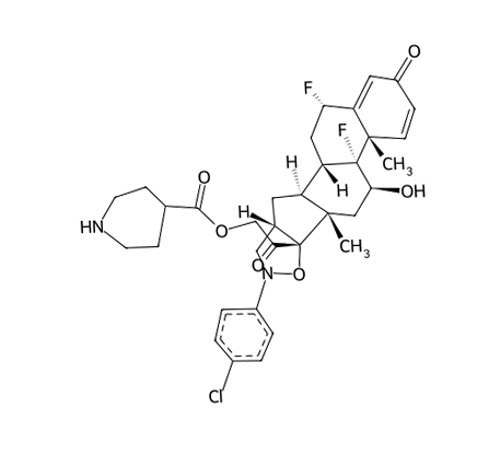 C[C@]12C=CC(=O)C=C1[C@@H](F)C[C@H]1[C@@H]3C[C@H]4CN(c5ccc(Cl)cc5)O[C@@]4(C(=O)COC(=O)C4CCNCC4)[C@@]3(C)C[C@H](O)[C@@]12F